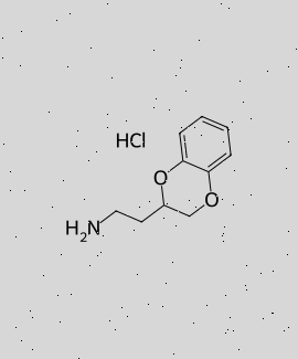 Cl.NCCC1COc2ccccc2O1